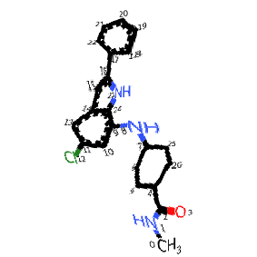 CNC(=O)C1CCC(Nc2cc(Cl)cc3cc(-c4ccccc4)[nH]c23)CC1